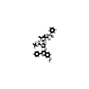 C=CC1C[C@]1(NC(=O)[C@@H]1C[C@@H](Oc2cc(-c3ccccc3)nc3cc(OC)ccc23)CN1C(=O)OC(C)(C)C)C(=O)N[S+]([O-])c1ccccc1